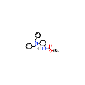 [2H][C@H]1[C@@H](NC(=O)OC(C)(C)C)CCC[C@H]1N(Cc1ccccc1)Cc1ccccc1